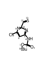 CC(C)(C)OC(=O)Nc1cc(Cl)nc(C=S)n1